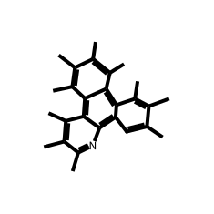 Cc1cc2c3nc(C)c(C)c(C)c3c3c(C)c(C)c(C)c(C)c3c2c(C)c1C